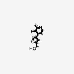 Cc1nccc(-c2cc(CO)on2)c1F